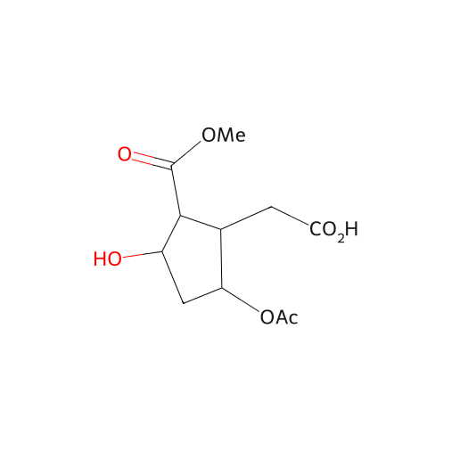 COC(=O)C1C(O)CC(OC(C)=O)C1CC(=O)O